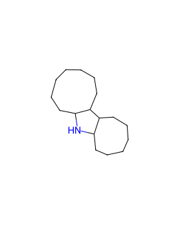 C1CCCC2NC3CCCCCCC3C2CCC1